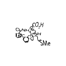 CSCCC1NC2(CCN(OC(=O)O)CC2)N(Cc2ccccc2C#N)C1=O.NC(=O)c1ccccc1